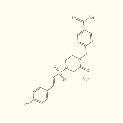 Cl.N=C(N)c1ccc(CN2CCN(S(=O)(=O)/C=C/c3ccc(Cl)cc3)CC2=O)cc1